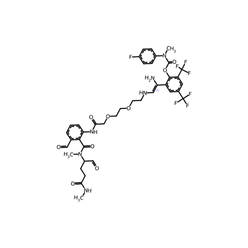 CNC(=O)CCC(C=O)N(C)C(=O)c1c(C=O)cccc1NC(=O)COCCOCCN/C=C(\N)c1cc(C(F)(F)F)cc(C(F)(F)F)c1OC(=O)N(C)c1ccc(F)cc1